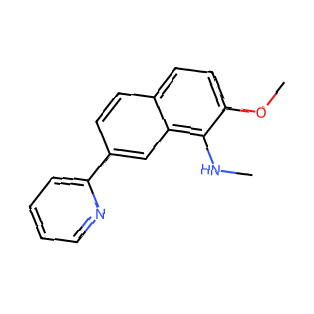 CNc1c(OC)ccc2ccc(-c3ccccn3)cc12